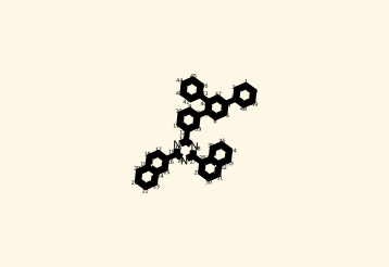 c1ccc(-c2ccc(-c3cccc(-c4nc(-c5ccc6ccccc6c5)nc(-c5cccc6ccccc56)n4)c3)c(-c3ccccc3)c2)cc1